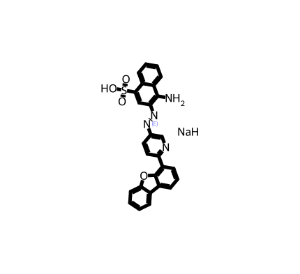 Nc1c(/N=N/c2ccc(-c3cccc4c3oc3ccccc34)nc2)cc(S(=O)(=O)O)c2ccccc12.[NaH]